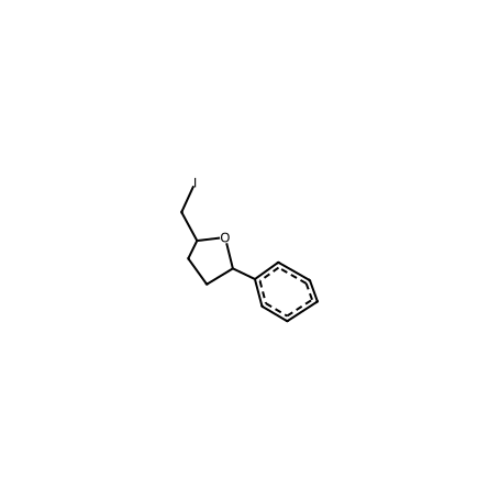 ICC1CCC(c2ccccc2)O1